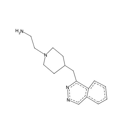 NCCN1CCC(Cc2nncc3ccccc23)CC1